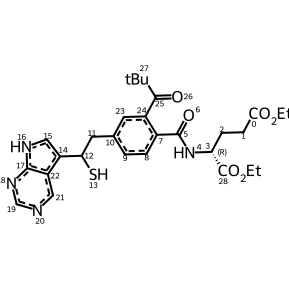 CCOC(=O)CC[C@@H](NC(=O)c1ccc(CC(S)c2c[nH]c3ncncc23)cc1C(=O)C(C)(C)C)C(=O)OCC